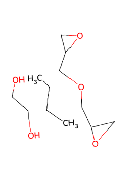 C(OCC1CO1)C1CO1.CCCC.OCCO